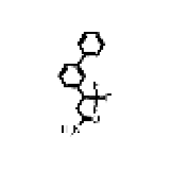 NC(=O)CC(c1cccc(-c2ccccc2)c1)C(F)(F)F